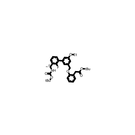 CCOc1cc(COc2ccccc2CC(=O)OC(C)(C)C)cc(-c2cccc([C@@H](C)NC(=O)OC(C)(C)C)c2F)c1